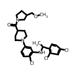 COCC1CCN(C(=O)C2CCN(c3ccc(Cl)c(NC(C)c4ccc(Cl)cc4Cl)c3)CC2)C1